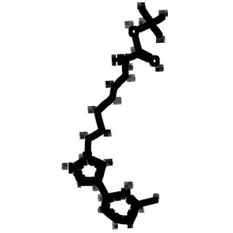 Cc1cccc(-c2cnn(CCCCCCNC(=O)OC(C)(C)C)c2)n1